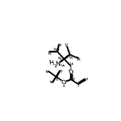 C=CC(=O)OC(C)(C)C.CC(C)C(C)(N)C(C)C